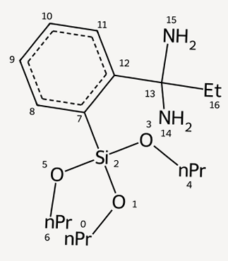 CCCO[Si](OCCC)(OCCC)c1ccccc1C(N)(N)CC